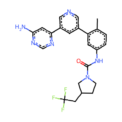 Cc1ccc(NC(=O)N2CCC(CC(F)(F)F)C2)cc1-c1cncc(-c2cc(N)ncn2)c1